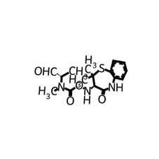 C[C@@H](C=O)N(C)C(=O)ON[C@@H]1C(=O)Nc2ccccc2SC1(C)C